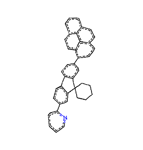 c1ccc(-c2ccc3c(c2)C2(CCCCC2)c2cc(-c4ccc5ccc6cccc7ccc4c5c67)ccc2-3)nc1